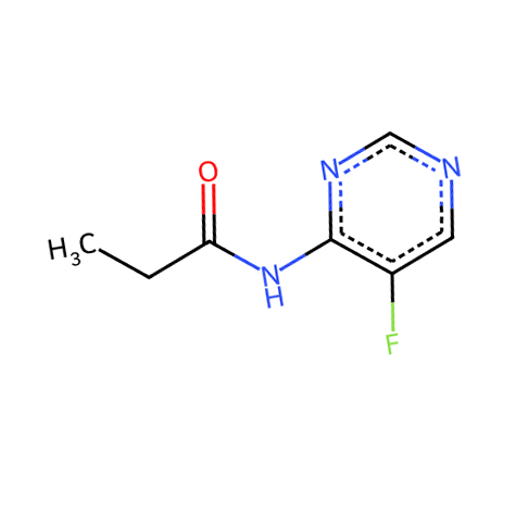 CCC(=O)Nc1ncncc1F